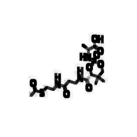 CC(=O)SCCNC(=O)CCNC(=O)[C@@H]1OP(=O)(N[C@@H](C)C(=O)O)OCC1(C)C